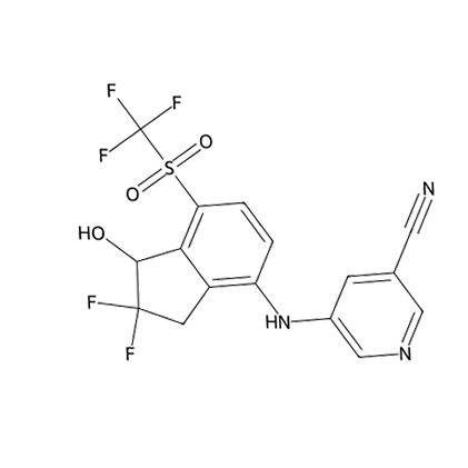 N#Cc1cncc(Nc2ccc(S(=O)(=O)C(F)(F)F)c3c2CC(F)(F)C3O)c1